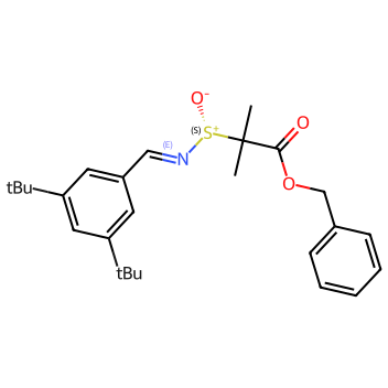 CC(C)(C)c1cc(/C=N/[S@+]([O-])C(C)(C)C(=O)OCc2ccccc2)cc(C(C)(C)C)c1